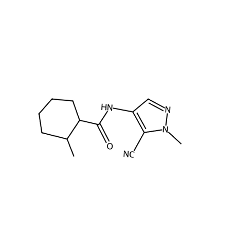 CC1CCCCC1C(=O)Nc1cnn(C)c1C#N